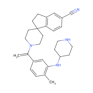 C=C(c1ccc(C)c(NC2CCNCC2)c1)N1CCC2(CCc3cc(C#N)ccc32)CC1